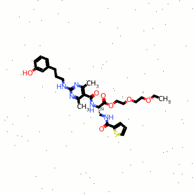 CCOCCOCCOC(=O)[C@H](CNC(=O)c1cccs1)NC(=O)c1c(C)nc(NCCCc2cccc(O)c2)nc1C